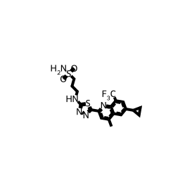 Cc1cc(-c2nnc(NCCCS(N)(=O)=O)s2)nc2c(C(F)(F)F)cc(C3CC3)cc12